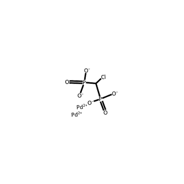 O=P([O-])([O-])C(Cl)P(=O)([O-])[O-].[Pd+2].[Pd+2]